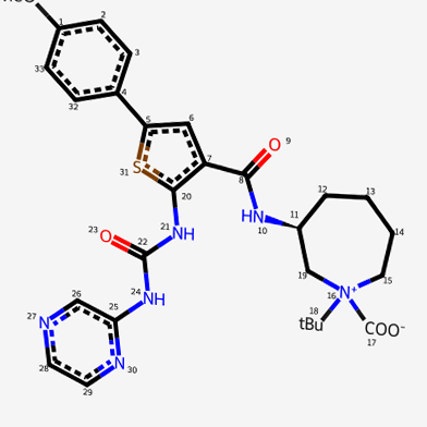 COc1ccc(-c2cc(C(=O)N[C@H]3CCCC[N+](C(=O)[O-])(C(C)(C)C)C3)c(NC(=O)Nc3cnccn3)s2)cc1